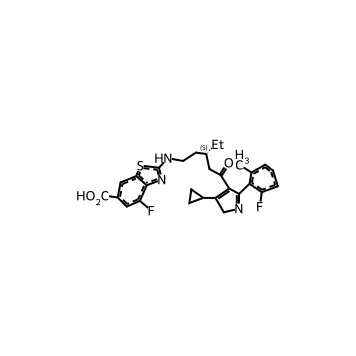 CC[C@@H](CCNc1nc2c(F)cc(C(=O)O)cc2s1)CC(=O)C1=C(C2CC2)CN=C1c1c(C)cccc1F